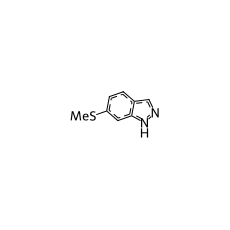 CSc1ccc2cn[nH]c2c1